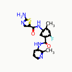 Cc1cc(F)c(C(=O)Nc2cccnc2C)cc1NC(=O)c1cnc(N)s1